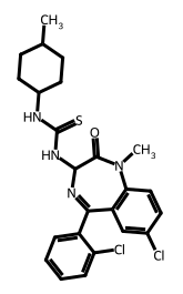 CC1CCC(NC(=S)NC2N=C(c3ccccc3Cl)c3cc(Cl)ccc3N(C)C2=O)CC1